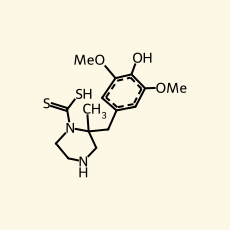 COc1cc(CC2(C)CNCCN2C(=S)S)cc(OC)c1O